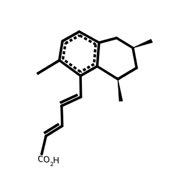 Cc1ccc2c(c1/C=C/C=C/C(=O)O)[C@H](C)C[C@H](C)C2